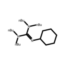 CCCCN(CCCC)C(=NC1CCCCC1)N(CCCC)CCCC